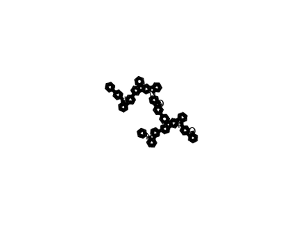 c1ccc(-c2ccc(-n3c4ccccc4c4ccc(-c5ccc6c(c5)-c5cc7c(cc5C65CCCCC5)c5ccccc5n7-c5ccc6c(c5)oc5cc(C7CCC8(CC7)c7cc(-c9ccc%10c(c9)c9ccccc9n%10-c9ccccc9)ccc7-c7cc9c(cc78)c7ccccc7n9-c7ccc8c(c7)oc7ccccc78)ccc56)cc43)cc2)cc1